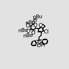 CCCCOC[C@H]1OC(c2cc(CCC(C)(C)[Si](O)(c3ccccc3)c3ccccc3)c(Cl)c3c2OCC3)[C@H](OCCCC)[C@@H](OCCCC)[C@@H]1OCCCC